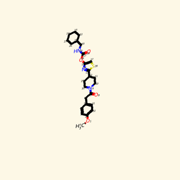 COc1ccc(CC(=O)N2CCC(c3nc(OC(=O)NCC4CCCCC4)cs3)CC2)cc1